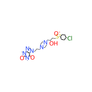 Cn1c(=O)c2c(ncn2CCCN2CCN(CC(O)CC[S+]([O-])c3ccc(Cl)cc3)CC2)n(C)c1=O